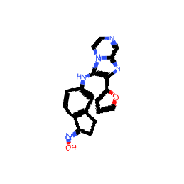 ON=C1CCc2cc(Nc3c(-c4ccco4)nc4cnccn34)ccc21